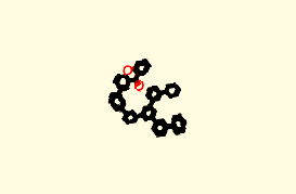 O=C1c2ccccc2OC2C=CC(c3cccc(-c4cccc(-c5cc(-c6cccc(-c7ccccc7)c6)cc(-c6cccc(C7C=CC=CC7)c6)c5)c4)c3)=CC12